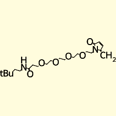 C=C1C=CC(=O)N1CCOCCOCCOCCOCCC(=O)NCCC(C)(C)C